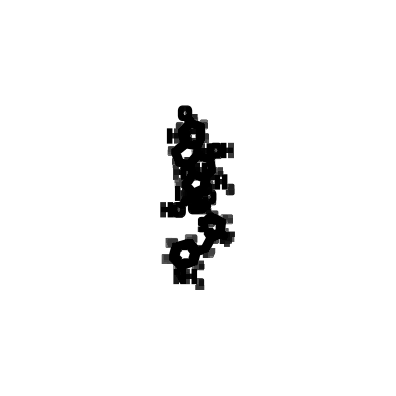 C[C@]12C=CC(=O)C=C1CC[C@@H]1[C@@H]2[C@@H](O)C[C@@]2(C)[C@H]1C[C@H]1O[C@@H](c3cc(F)c(Cc4cccc(N)c4)s3)O[C@]12C(=O)CO